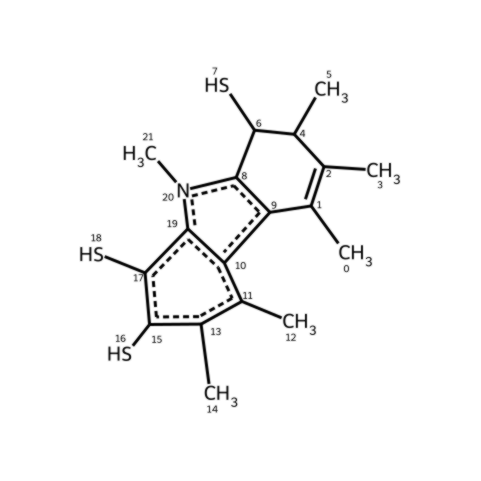 CC1=C(C)C(C)C(S)c2c1c1c(C)c(C)c(S)c(S)c1n2C